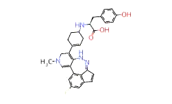 CN1C=C2C(=C(C3=CCC(N[C@@H](Cc4ccc(O)cc4)C(=O)O)CC3)C1)NN=C1C=Cc3cc(F)cc2c31